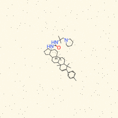 Cc1ccc(C2=CCC3(C)C(CCC4(C)C3CCC3C5CCCC5(NC(=O)NC(C)(C)CN5CCCCC5)CC[C@]34C)C2(C)C)cc1